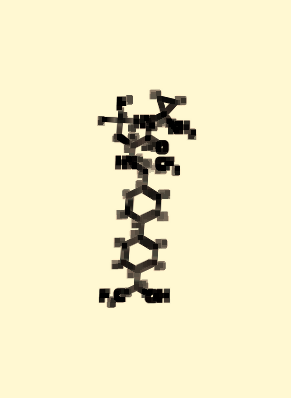 CC(C)(F)C[C@H](N[C@@H](c1ccc(-c2ccc(C(O)C(F)(F)F)cc2)cc1)C(F)(F)F)C(=O)NC1(N)CC1